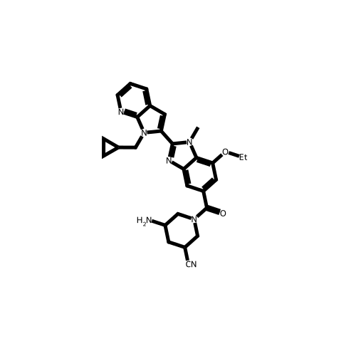 CCOc1cc(C(=O)N2CC(N)CC(C#N)C2)cc2nc(-c3cc4cccnc4n3CC3CC3)n(C)c12